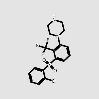 O=S(=O)(c1ccccc1Cl)c1cccc(N2CCNCC2)c1C(F)(F)F